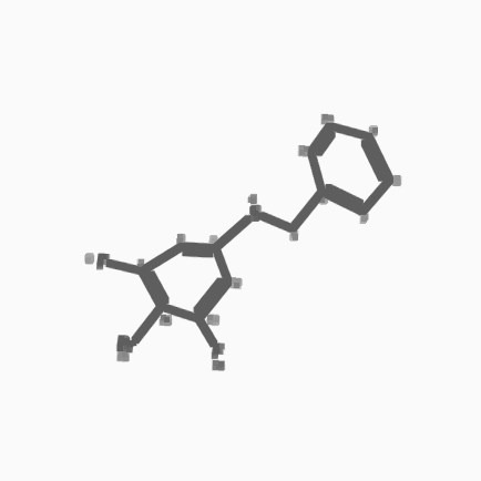 Fc1cc(SCc2ccccc2)cc(F)c1Br